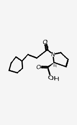 O=C(O)[C@@H]1CCCN1C(=O)CCC1CCCCC1